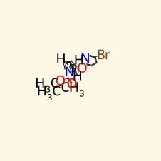 CC(C)(C)OC(=O)N1C[C@@H]2CC[C@H]1[C@H](Oc1ccc(Br)cn1)C2